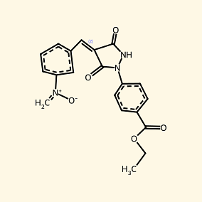 C=[N+]([O-])c1cccc(/C=C2/C(=O)NN(c3ccc(C(=O)OCC)cc3)C2=O)c1